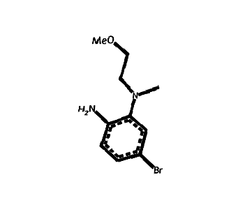 COCCN(C)c1cc(Br)ccc1N